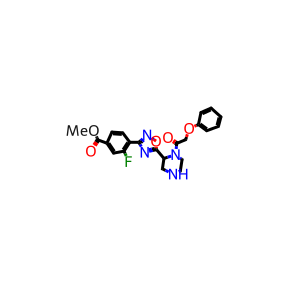 COC(=O)c1ccc(-c2noc(C3CNCCN3C(=O)COc3ccccc3)n2)c(F)c1